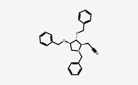 N#CC[C@@H]1[C@@H](OCc2ccccc2)[C@H](OCc2ccccc2)CN1Cc1ccccc1